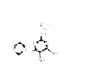 Nc1nc(N)c(N)c(O)n1.O=S(=O)(O)O.c1cncnc1